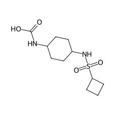 O=C(O)NC1CCC(NS(=O)(=O)C2CCC2)CC1